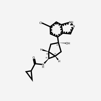 O=C(N[C@H]1[C@@H]2C[C@@](O)(c3cc(Cl)cc4[nH]ncc34)C[C@@H]21)C1CC1